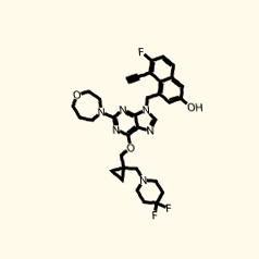 C#Cc1c(F)ccc2cc(O)cc(Cn3cnc4c(OCC5(CN6CCC(F)(F)CC6)CC5)nc(N5CCCOCC5)nc43)c12